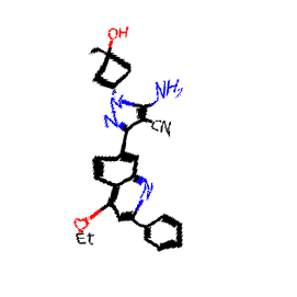 CCOc1cc(-c2ccccc2)nc2cc(-c3nn([C@H]4C[C@@](C)(O)C4)c(N)c3C#N)ccc12